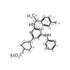 CCOC(=O)C1CCN(c2cc(Nc3cnccn3)nc(N[C@@H](C)c3ccc(F)cc3)n2)CC1